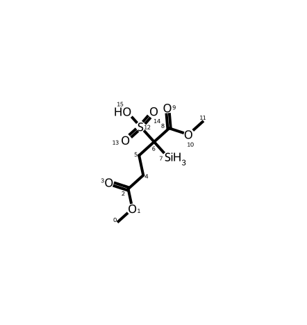 COC(=O)CCC([SiH3])(C(=O)OC)S(=O)(=O)O